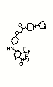 Cc1cc(N[C@H]2CC[C@H](OCC(=O)N3CCN(c4ccccc4)CC3)CC2)cc(C(F)(F)F)c1[N+](=O)[O-]